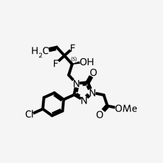 C=CC(F)(F)[C@@H](O)Cn1c(C2=CCC(Cl)C=C2)nn(CC(=O)OC)c1=O